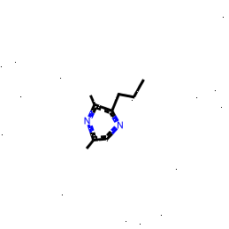 CCCc1n[c]c(C)nc1C